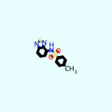 Cc1ccc(S(=O)(=O)Nc2cccc3nsnc23)cc1